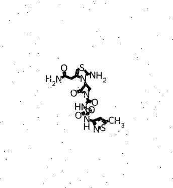 Cc1cc(NS(=O)(=O)NC(=O)N2CC(N3C(CC(N)=O)=CSC3N)C2=O)ns1